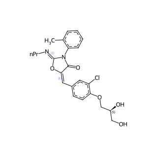 CCC/N=C1\O/C(=C/c2ccc(OC[C@@H](O)CO)c(Cl)c2)C(=O)N1c1ccccc1C